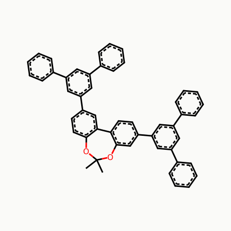 CC1(C)Oc2cc(-c3cc(-c4ccccc4)cc(-c4ccccc4)c3)ccc2-c2cc(-c3cc(-c4ccccc4)cc(-c4ccccc4)c3)ccc2O1